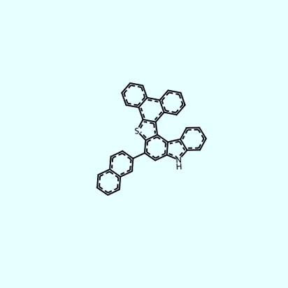 c1ccc2cc(-c3cc4[nH]c5ccccc5c4c4c3sc3c5ccccc5c5ccccc5c34)ccc2c1